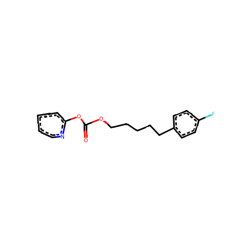 O=C(OCCCCCc1ccc(F)cc1)Oc1ccccn1